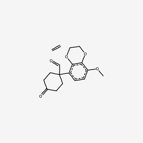 C=C.COc1ccc(C2(C=O)CCC(=O)CC2)c2c1OCCO2